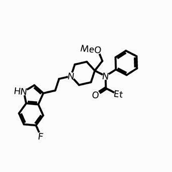 CCC(=O)N(c1ccccc1)C1(COC)CCN(CCc2c[nH]c3ccc(F)cc23)CC1